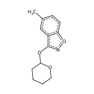 Cc1ccc2onc(OC3CCCCO3)c2c1